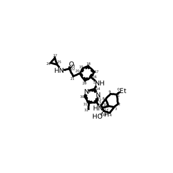 CCC1CC2C[C@H](O)CC(C1)[C@@H]2Nc1nc(Nc2cccc(CC(=O)NC3CC3)c2)ncc1C